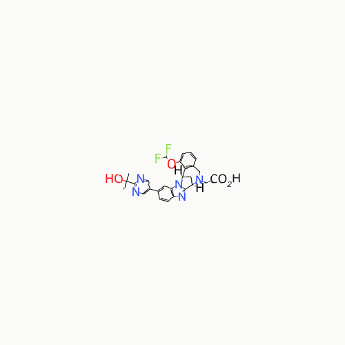 CC(C)(O)c1ncc(-c2ccc3nc4n(c3c2)[C@@H]2C[C@H]4N(CC(=O)O)Cc3cccc(OC(F)F)c32)cn1